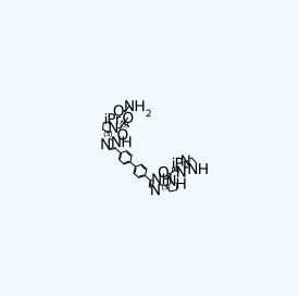 CC(C)[C@H](NC1=NCCN1)C(=O)N1CCC[C@H]1c1ncc(-c2ccc(-c3ccc(-c4cnc([C@@H]5CCCN5C(=O)[C@@](C)(OC(N)=O)C(C)C)[nH]4)cc3)cc2)[nH]1